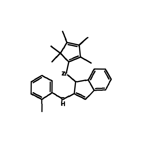 CC1=C(C)C(C)(C)[C]([Zr][CH]2C(Pc3ccccc3C)=Cc3ccccc32)=C1C